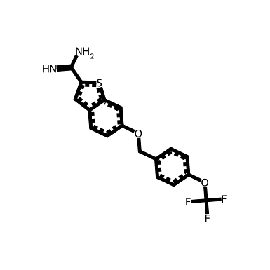 N=C(N)c1cc2ccc(OCc3ccc(OC(F)(F)F)cc3)cc2s1